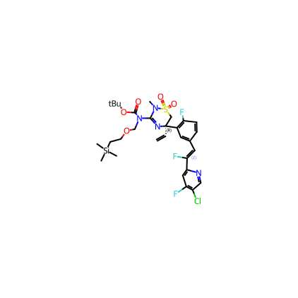 C=C[C@@]1(c2cc(/C=C(\F)c3cc(F)c(Cl)cn3)ccc2F)CS(=O)(=O)N(C)C(N(COCC[Si](C)(C)C)C(=O)OC(C)(C)C)=N1